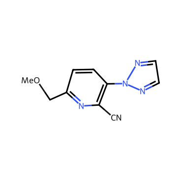 COCc1ccc(-n2nccn2)c(C#N)n1